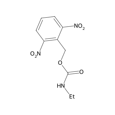 CCNC(=O)OCc1c([N+](=O)[O-])cccc1[N+](=O)[O-]